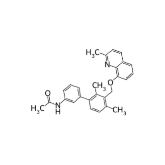 CC(=O)Nc1cccc(-c2ccc(C)c(COc3cccc4ccc(C)nc34)c2C)c1